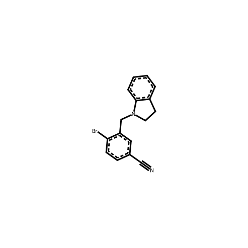 N#Cc1ccc(Br)c(CN2CCc3ccccc32)c1